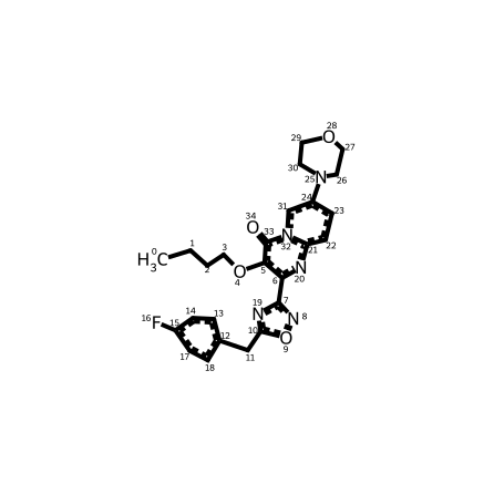 CCCCOc1c(-c2noc(Cc3ccc(F)cc3)n2)nc2ccc(N3CCOCC3)cn2c1=O